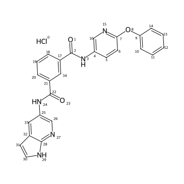 Cl.O=C(Nc1ccc(Oc2ccccc2)nc1)c1cccc(C(=O)Nc2cnc3[nH]ccc3c2)c1